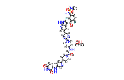 CCN(C)S(=O)(=O)Nc1ccc(F)c(C(=O)c2c[nH]c3ncc(-c4cnc(N5CCC(NCC(=O)N6CCC(c7ccc(NC8CCC(=O)NC8=O)cn7)CC6)CC5)nc4)cc23)c1F.O=CO